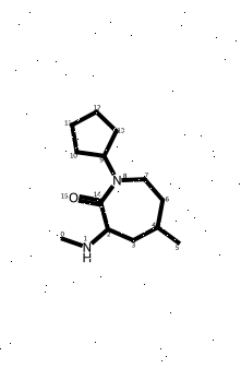 CNC1CC(C)CCN(C2CCCC2)C1=O